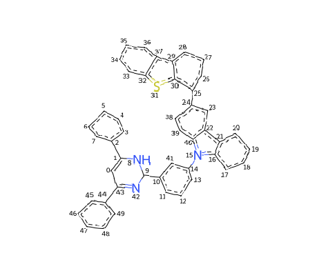 C1=C(c2ccccc2)NC(c2cccc(-n3c4ccccc4c4cc(-c5cccc6c5sc5ccccc56)ccc43)c2)N=C1c1ccccc1